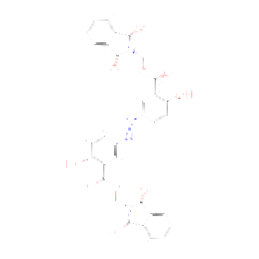 O=C(OCN1C(=O)c2ccccc2C1=O)c1cc(/N=N/c2ccc(O)c(C(=O)OCN3C(=O)c4ccccc4C3=O)c2)ccc1O